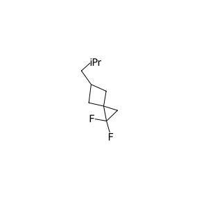 CC(C)CC1CC2(C1)CC2(F)F